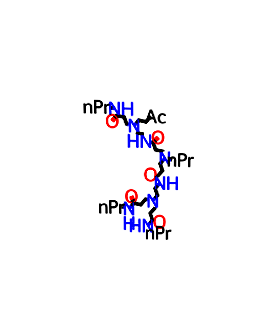 CCCNC(=O)CCN(CCNC(=O)CCN(CCC)CCC(=O)NCCN(CCC(=O)NCCC)CCC(=O)NCCC)CCC(C)=O